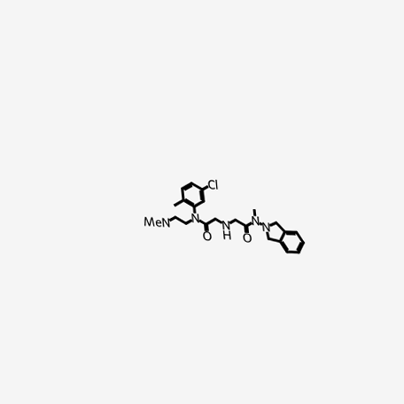 CNCCN(C(=O)CNCC(=O)N(C)N1Cc2ccccc2C1)c1cc(Cl)ccc1C